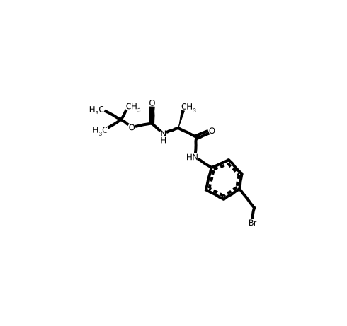 C[C@H](NC(=O)OC(C)(C)C)C(=O)Nc1ccc(CBr)cc1